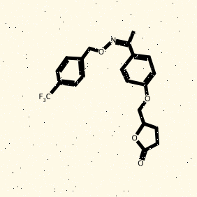 CC(=NOCc1ccc(C(F)(F)F)cc1)c1ccc(OCC2CCC(=O)O2)cc1